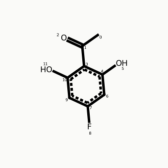 CC(=O)c1c(O)cc(F)cc1O